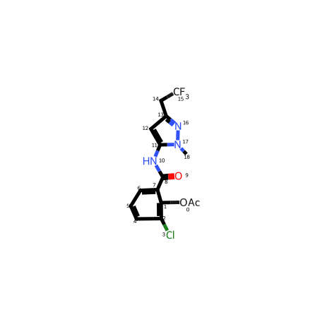 CC(=O)Oc1c(Cl)cccc1C(=O)Nc1cc(CC(F)(F)F)nn1C